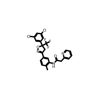 Cc1ccc(C2=NOC(c3cc(Cl)cc(Cl)c3)(C(F)(F)F)C2)cc1NC(=O)Cc1ccccn1